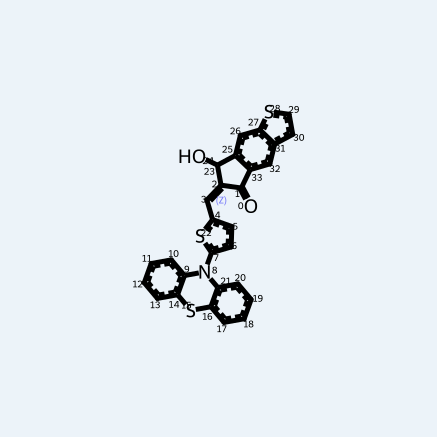 O=C1/C(=C\c2ccc(N3c4ccccc4Sc4ccccc43)s2)C(O)c2cc3sccc3cc21